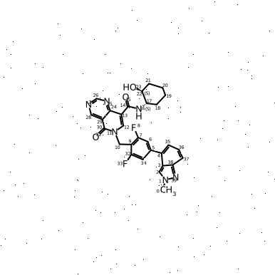 Cn1cc2c(-c3cc(F)c(Cn4cc(C(=O)N[C@H]5CCCC[C@@H]5O)c5ncncc5c4=O)c(F)c3)cccc2n1